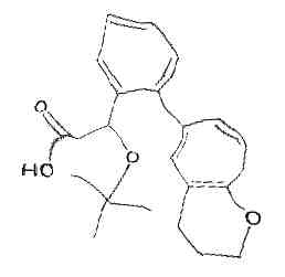 CC(C)(C)OC(C(=O)O)c1ccccc1-c1ccc2c(c1)CCCO2